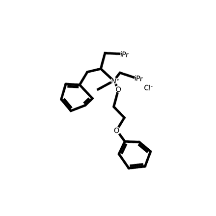 CC(C)CC(Cc1ccccc1)[N+](C)(CC(C)C)OCCOc1ccccc1.[Cl-]